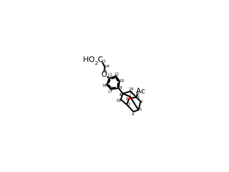 CC(=O)C12CC3CC(C1)CC(c1ccc(OCC(=O)O)cc1)(C3)C2